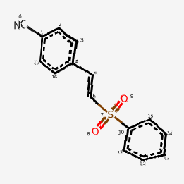 N#Cc1ccc(C=CS(=O)(=O)c2ccccc2)cc1